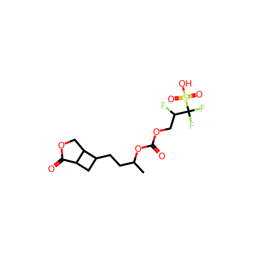 CC(CCC1CC2C(=O)OCC12)OC(=O)OCC(F)C(F)(F)S(=O)(=O)O